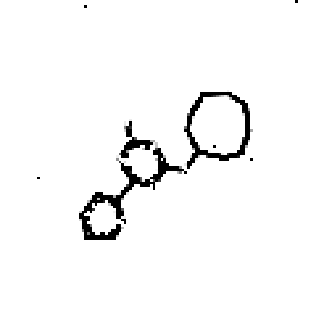 Clc1nc(NC2CCCCCCCC2)nc(-c2ccccn2)n1